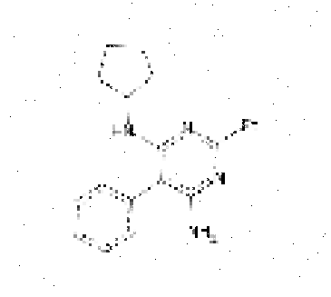 CCc1nc(N)c(-c2ccccc2)c(NC2CCCC2)n1